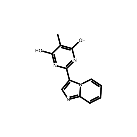 Cc1c(O)nc(-c2cnc3ccccn23)nc1O